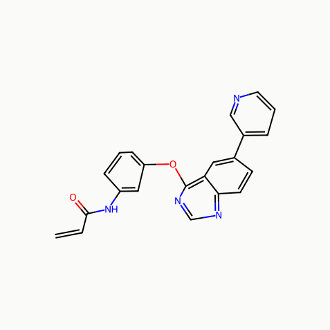 C=CC(=O)Nc1cccc(Oc2ncnc3ccc(-c4cccnc4)cc23)c1